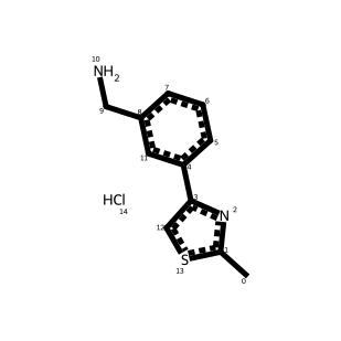 Cc1nc(-c2cccc(CN)c2)cs1.Cl